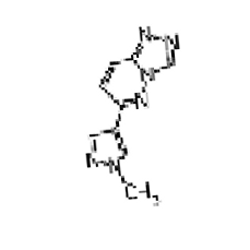 Cn1cc(-c2ccc3nncn3n2)cn1